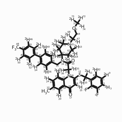 [2H]c1c([2H])c(F)c(F)c(C([2H])([2H])Sc2c([2H])c(=O)c3c([2H])c(C)c([2H])c([2H])c3n2C([2H])([2H])C(=O)N(Cc2c([2H])c([2H])c(-c3c([2H])c([2H])c(C(F)(F)F)c([2H])c3[2H])c([2H])c2[2H])C2([2H])C([2H])([2H])C([2H])([2H])N(C([2H])([2H])COC([2H])([2H])[2H])C([2H])([2H])C2([2H])[2H])c1[2H]